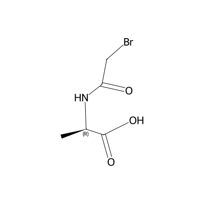 C[C@@H](NC(=O)CBr)C(=O)O